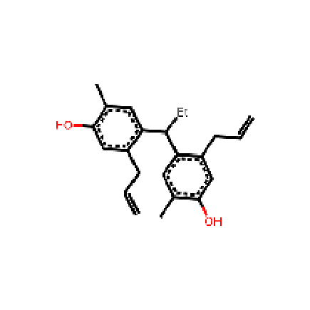 C=CCc1cc(O)c(C)cc1C(CC)c1cc(C)c(O)cc1CC=C